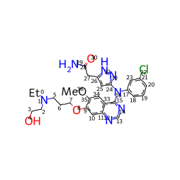 CCN(CCO)CCCOc1cc2ncnc(N(c3cccc(Cl)c3)c3cc(CC(N)=O)[nH]n3)c2cc1OC